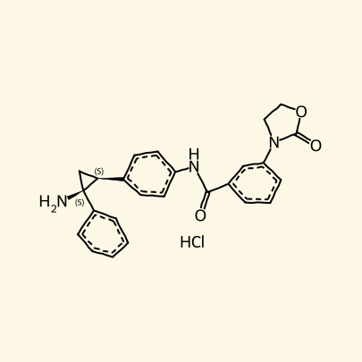 Cl.N[C@@]1(c2ccccc2)C[C@H]1c1ccc(NC(=O)c2cccc(N3CCOC3=O)c2)cc1